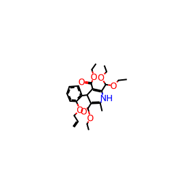 C=CCOc1ccccc1C1C(C(=O)OCC)=C(C)NC(C(OCC)OCC)=C1C(=O)OCC